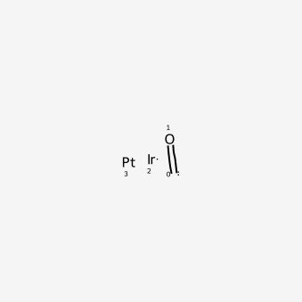 [C]=O.[Ir].[Pt]